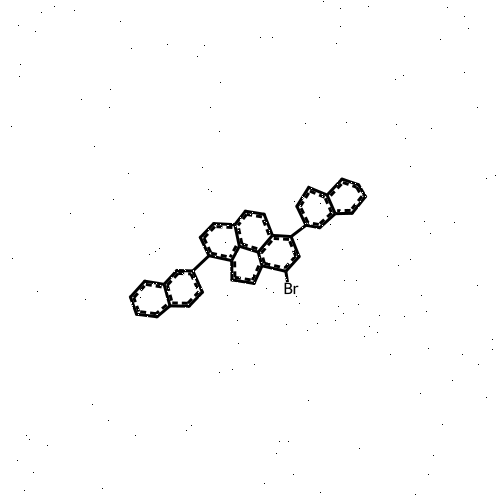 Brc1cc(-c2ccc3ccccc3c2)c2ccc3ccc(-c4ccc5ccccc5c4)c4ccc1c2c34